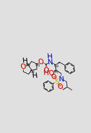 CC(C)CN(C[C@@H](O)[C@H](Cc1ccccc1)NC(=O)O[C@@H]1C[C@@H]2CCO[C@@H]2C1)S(=O)(=O)c1ccccc1